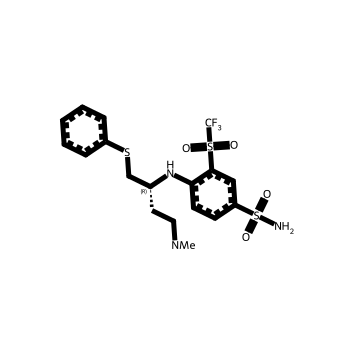 CNCC[C@H](CSc1ccccc1)Nc1ccc(S(N)(=O)=O)cc1S(=O)(=O)C(F)(F)F